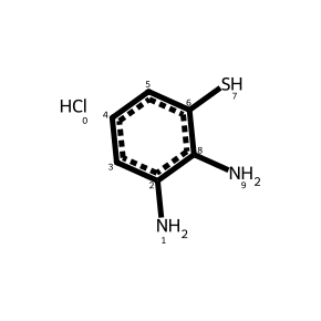 Cl.Nc1cccc(S)c1N